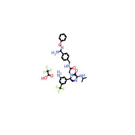 CC(C)Nc1ncc(-c2cc(N)cc(C(F)(F)F)c2)n(CC(=O)NCc2ccc(/C(N)=N/Oc3ccccc3)cc2)c1=O.O=C(O)C(F)(F)F